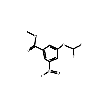 COC(=O)c1cc(OC(F)F)cc([N+](=O)[O-])c1